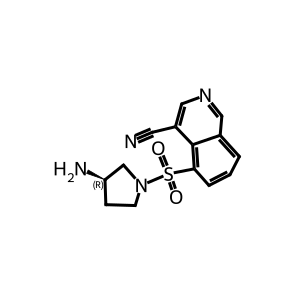 N#Cc1cncc2cccc(S(=O)(=O)N3CC[C@@H](N)C3)c12